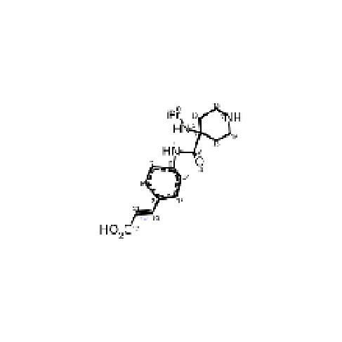 CC(C)NC1(C(=O)Nc2ccc(/C=C/C(=O)O)cc2)CCNCC1